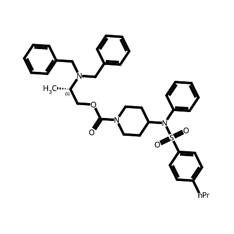 CCCc1ccc(S(=O)(=O)N(c2ccccc2)C2CCN(C(=O)OC[C@H](C)N(Cc3ccccc3)Cc3ccccc3)CC2)cc1